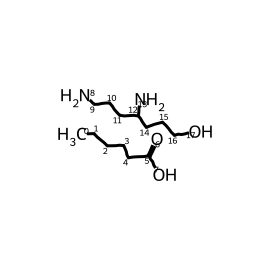 CCCCCC(=O)O.NCCCC(N)CCCO